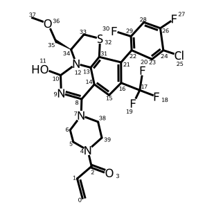 C=CC(=O)N1CCN(C2=NC(O)N3c4c2cc(C(F)(F)F)c(-c2cc(Cl)c(F)cc2F)c4SC[C@@H]3COC)CC1